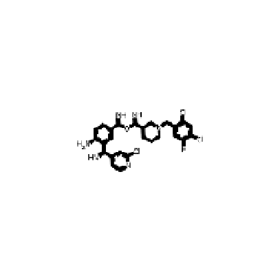 N=C(OC(=N)C1CCCN(Cc2cc(F)c(Cl)cc2Cl)C1)c1ccc(N)c(C(=N)c2ccnc(Cl)c2)c1